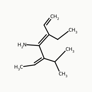 C=C/C(CC)=C(N)/C(=C\C)C(C)C